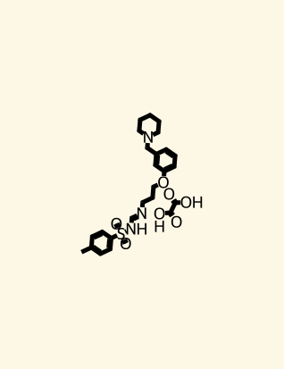 Cc1ccc(S(=O)(=O)NC=NCCCOc2cccc(CN3CCCCC3)c2)cc1.O=C(O)C(=O)O